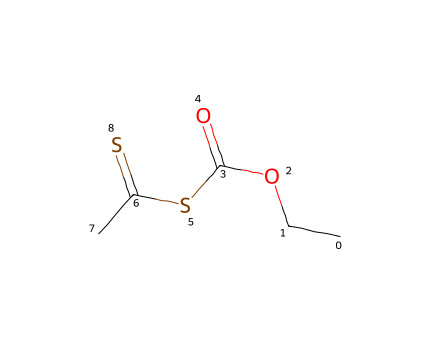 CCOC(=O)SC(C)=S